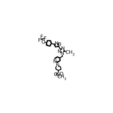 Cc1nc(-c2cc(-c3ccc(OC(F)(F)F)cc3)no2)nn1Cc1ccnc(N2CCC(S(C)(=O)=O)CC2)c1